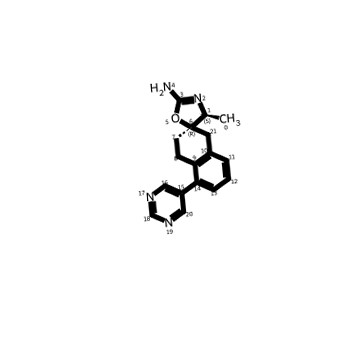 C[C@@H]1N=C(N)O[C@@]12CCc1c(cccc1-c1cncnc1)C2